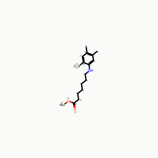 Cc1cc(NCCCCCCC(=O)OC(C)(C)C)c([N+](=O)[O-])cc1C